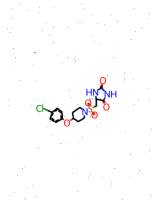 C[C@]1(CS(=O)(=O)N2CCC(Oc3ccc(Cl)cc3)CC2)NC(=O)NC1=O